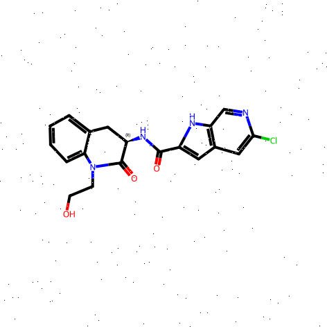 O=C(N[C@@H]1Cc2ccccc2N(CCO)C1=O)c1cc2cc(Cl)ncc2[nH]1